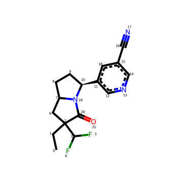 CCC1(C(F)F)CC2CC[C@@H](c3cncc(C#N)c3)N2C1=O